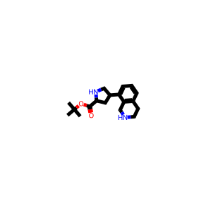 CC(C)(C)OC(=O)C1CC(c2cccc3c2CNCC3)CN1